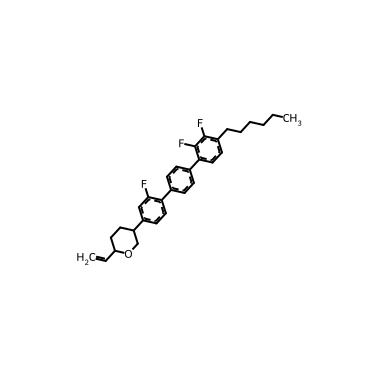 C=CC1CCC(c2ccc(-c3ccc(-c4ccc(CCCCCC)c(F)c4F)cc3)c(F)c2)CO1